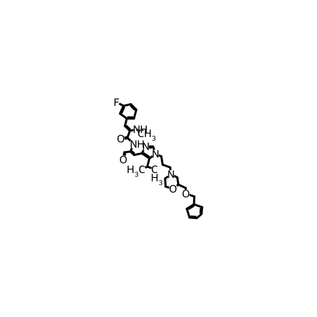 CN/C(=C\c1cccc(F)c1)C(=O)N/C(C=O)=C\c1ncn(CCCN2CCOC(COCc3ccccc3)C2)c1C(C)C